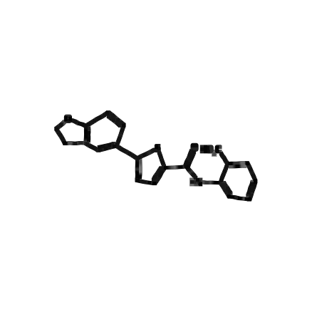 O=C(Nc1ccccc1C(=O)O)c1ccc(-c2ccc3c(c2)CCO3)s1